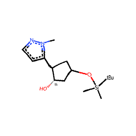 Cn1nccc1C1CC(O[Si](C)(C)C(C)(C)C)C[C@@H]1O